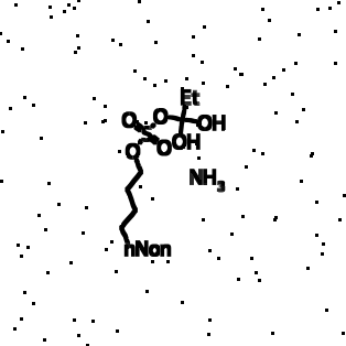 CCCCCCCCCCCCCOS(=O)(=O)OC(O)(O)CC.N